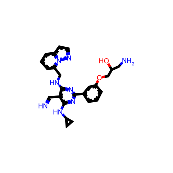 N=Cc1c(NCc2cccc3ccnn23)nc(-c2cccc(OCC(O)CN)c2)nc1NC1CC1